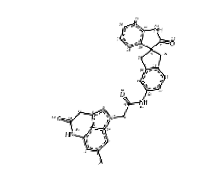 Cc1cc2c3c(cn(CC(=O)Nc4ccc5c(c4)CC4(C5)C(=O)Nc5ncccc54)c3c1)CC(=O)N2